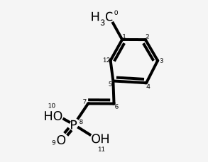 Cc1cccc(C=CP(=O)(O)O)c1